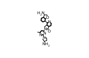 Cc1cc(N2Cc3c(ccnc3-c3cccc4c3OCC4N)C2=O)nc(N2CCC(N)C2)n1